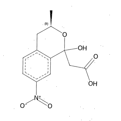 C[C@@H]1Cc2ccc([N+](=O)[O-])cc2C(O)(CC(=O)O)O1